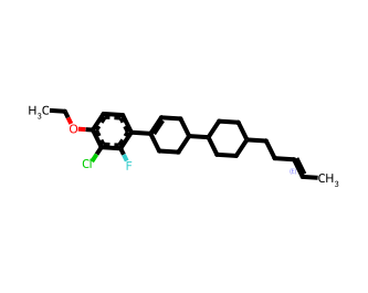 C/C=C/CCC1CCC(C2CC=C(c3ccc(OCC)c(Cl)c3F)CC2)CC1